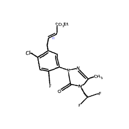 CCOC(=O)/C=C/c1cc(-n2nc(C)n(C(F)F)c2=O)c(F)cc1Cl